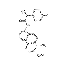 COC(=O)[C@@H](C)n1ccc2c(NC(=O)[C@@H](C)c3ccc(Cl)cc3)cccc2c1=O